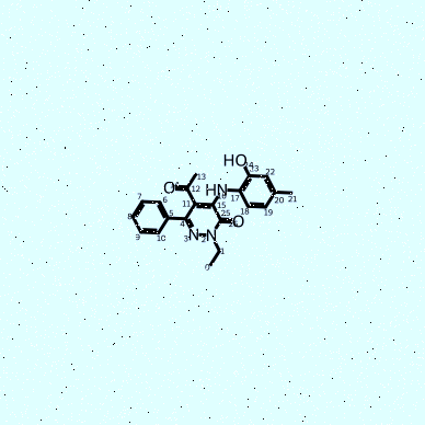 CCn1nc(-c2ccccc2)c(C(C)=O)c(Nc2ccc(C)cc2O)c1=O